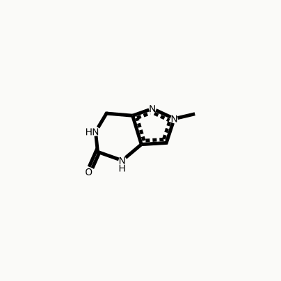 Cn1cc2c(n1)CNC(=O)N2